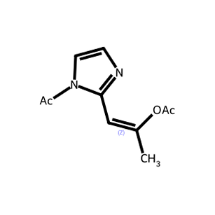 CC(=O)O/C(C)=C\c1nccn1C(C)=O